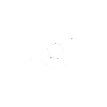 CCOc1ccc(C(C)(C)C(=O)O)cc1.[Zn]